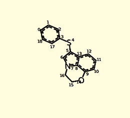 c1ccc(Sc2cn3c4c(cccc24)OCC3)cc1